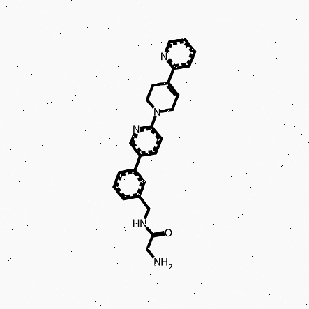 NCC(=O)NCc1cccc(-c2ccc(N3CC=C(c4ccccn4)CC3)nc2)c1